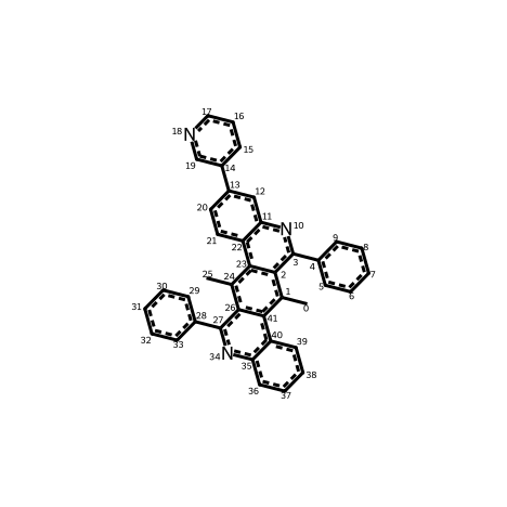 Cc1c2c(-c3ccccc3)nc3cc(-c4cccnc4)ccc3c2c(C)c2c(-c3ccccc3)nc3ccccc3c12